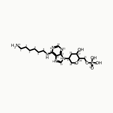 NCCCCCCNc1ncnc2c1ncn2C1COC(COP(=O)(O)O)C(O)C1